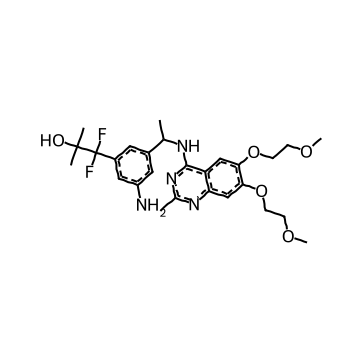 COCCOc1cc2nc(C)nc(NC(C)c3cc(N)cc(C(F)(F)C(C)(C)O)c3)c2cc1OCCOC